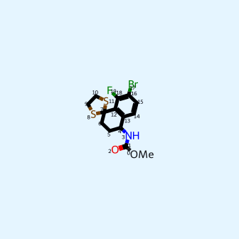 COC(=O)NC1CCC2(SCCS2)c2c1ccc(Br)c2F